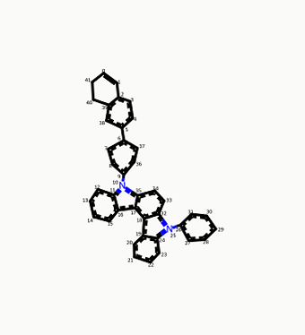 C1=Cc2ccc(-c3ccc(-n4c5ccccc5c5c6c7ccccc7n(-c7ccccc7)c6ccc54)cc3)cc2CC1